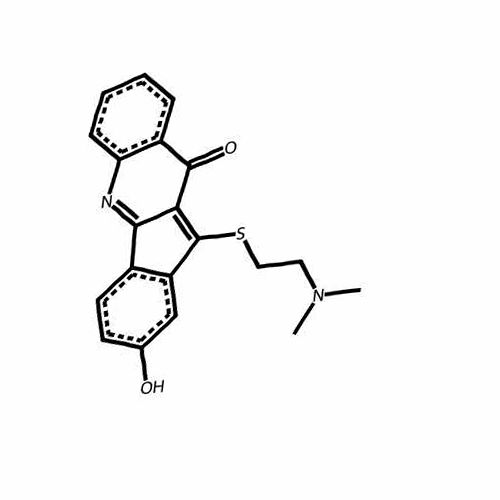 CN(C)CCSC1=C2C(=O)c3ccccc3N=C2c2ccc(O)cc21